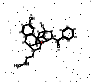 CNCCN1CCC23c4cc(O)ccc4CC1C21CCC2C3[C@@H](CN2C(=O)c2ccccc2)C1